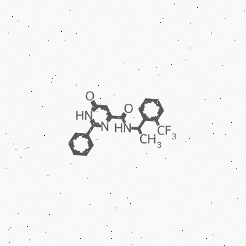 CC(NC(=O)c1cc(=O)[nH]c(-c2ccccc2)n1)c1ccccc1C(F)(F)F